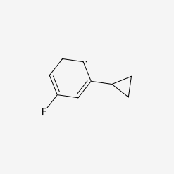 FC1=CC[CH]C(C2CC2)=C1